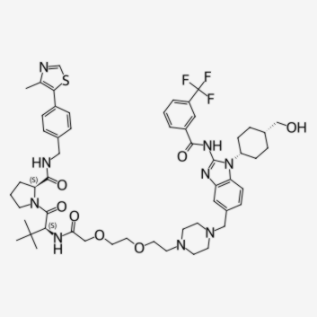 Cc1ncsc1-c1ccc(CNC(=O)[C@@H]2CCCN2C(=O)[C@@H](NC(=O)COCCOCCN2CCN(Cc3ccc4c(c3)nc(NC(=O)c3cccc(C(F)(F)F)c3)n4[C@H]3CC[C@@H](CO)CC3)CC2)C(C)(C)C)cc1